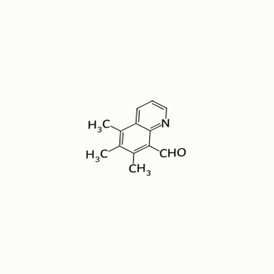 Cc1c(C)c(C=O)c2ncccc2c1C